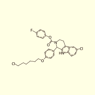 O=C(Oc1ccc(F)cc1)N1CCc2c([nH]c3ccc(Cl)cc23)C1c1ccc(OCCCCCCCl)cc1